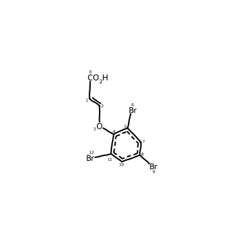 O=C(O)C=COc1c(Br)cc(Br)cc1Br